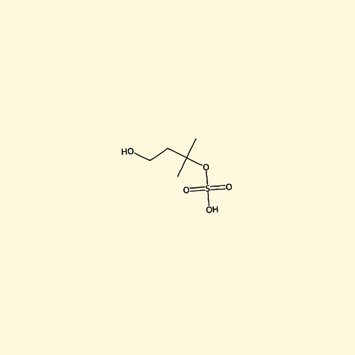 CC(C)(CCO)OS(=O)(=O)O